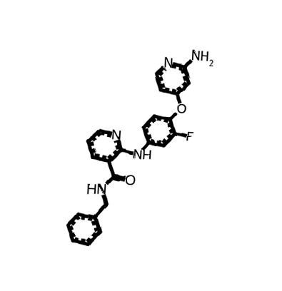 Nc1cc(Oc2ccc(Nc3ncccc3C(=O)NCc3ccccc3)cc2F)ccn1